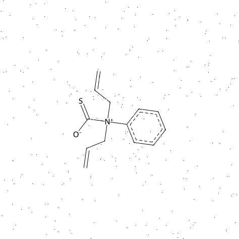 C=CC[N+](CC=C)(C([O-])=S)c1ccccc1